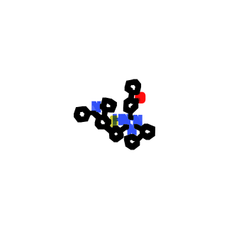 c1ccc(-c2ccccc2C2=NC(c3ccc4c(c3)oc3ccccc34)NC(c3cccc4c3sc3c4ccc4c(-c5ccccc5)nc5ccccc5c43)=N2)cc1